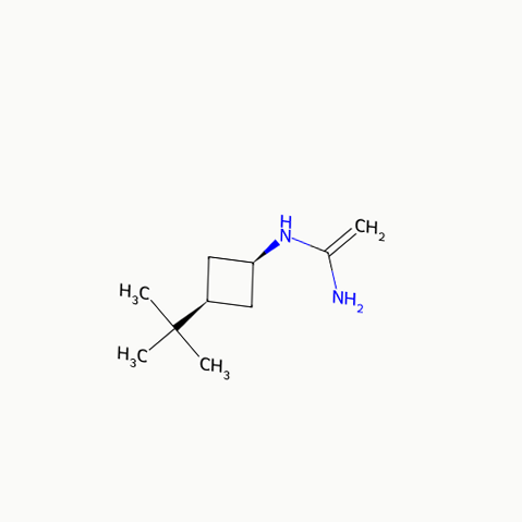 C=C(N)N[C@H]1C[C@@H](C(C)(C)C)C1